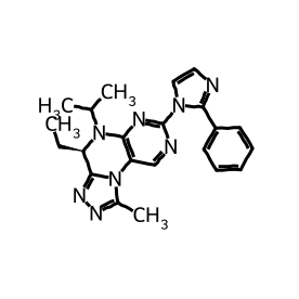 CC[C@@H]1c2nnc(C)n2-c2cnc(-n3ccnc3-c3ccccc3)nc2N1C(C)C